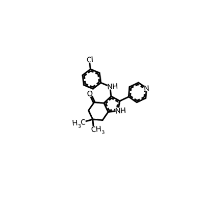 CC1(C)CC(=O)c2c([nH]c(-c3ccncc3)c2Nc2cccc(Cl)c2)C1